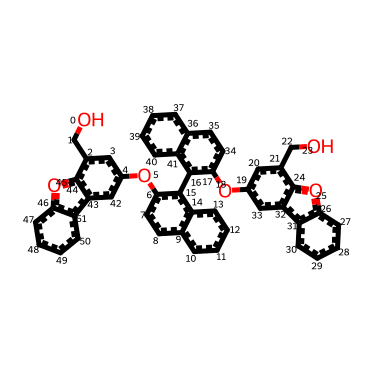 OCc1cc(Oc2ccc3ccccc3c2-c2c(Oc3cc(CO)c4oc5ccccc5c4c3)ccc3ccccc23)cc2c1oc1ccccc12